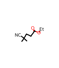 CCOC(=O)CCC(C)(C)C#N